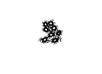 N#Cc1c(N2c3ccccc3Sc3ccccc32)cc(-c2cc(I)ccc2S(=O)(=O)O)cc1N1c2ccccc2S(c2ccccc2)(c2ccccc2)c2ccccc21